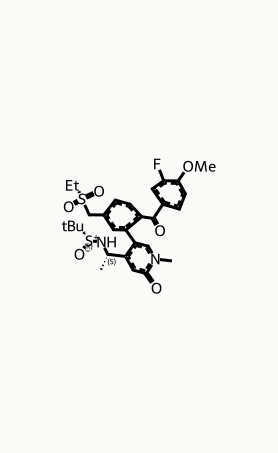 CCS(=O)(=O)Cc1ccc(C(=O)c2ccc(OC)c(F)c2)c(-c2cn(C)c(=O)cc2[C@H](C)N[S@@+]([O-])C(C)(C)C)c1